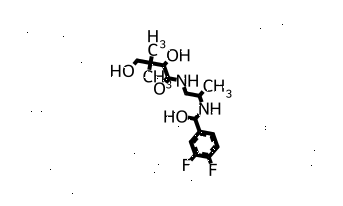 CC(CNC(=O)C(O)C(C)(C)CO)NC(O)c1ccc(F)c(F)c1